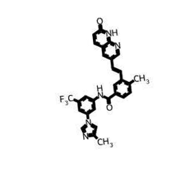 Cc1cn(-c2cc(NC(=O)c3ccc(C)c(/C=C/c4cnc5[nH]c(=O)ccc5c4)c3)cc(C(F)(F)F)c2)cn1